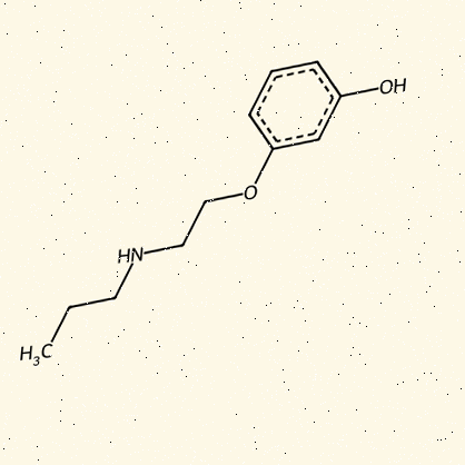 CCCNCCOc1cccc(O)c1